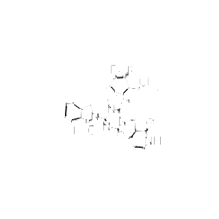 C=Cc1cc(Cn2c(N3Cc4ccccc4[C@H]3C)nc(=O)n(Cc3ccc[nH]c3=O)c2=O)cc(F)c1F